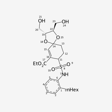 CCCCCCc1ccccc1NS(=O)(=O)C1CCC2(C=C1C(=O)OCC)O[C@H](CO)[C@@H](CO)O2